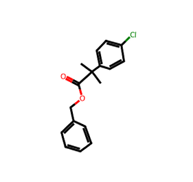 CC(C)(C(=O)OCc1ccccc1)c1ccc(Cl)cc1